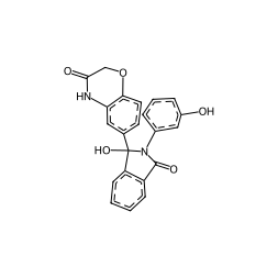 O=C1COc2ccc(C3(O)c4ccccc4C(=O)N3c3cccc(O)c3)cc2N1